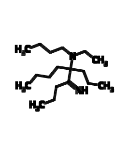 CCCCN(CC)C(CCC)(CCCC)C(=N)CCC